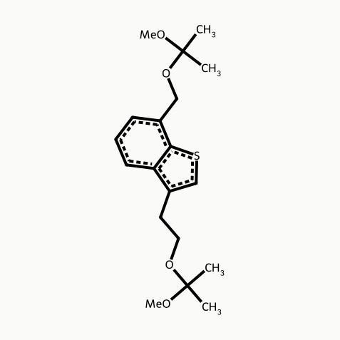 COC(C)(C)OCCc1csc2c(COC(C)(C)OC)cccc12